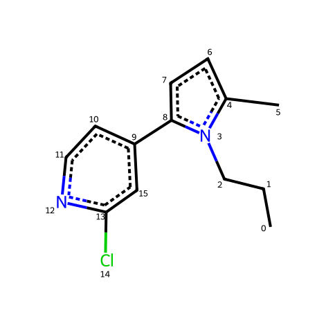 CCCn1c(C)ccc1-c1ccnc(Cl)c1